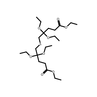 CCOC(=O)CCC(CSCC(CCC(=O)OCC)(OCC)OCC)(OCC)OCC